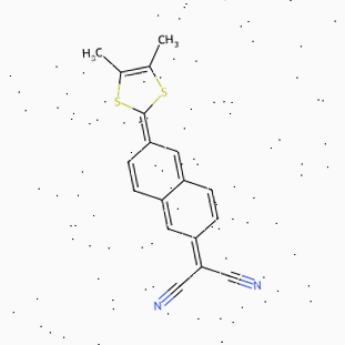 CC1=C(C)SC(=c2ccc3cc(=C(C#N)C#N)ccc3c2)S1